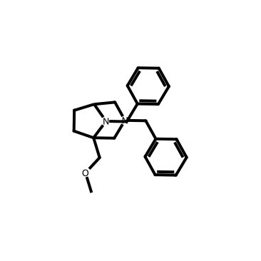 COCC12CCC(CN(Cc3ccccc3)C1)N2Cc1ccccc1